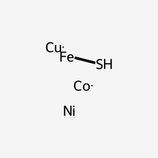 [Co].[Cu].[Ni].[SH][Fe]